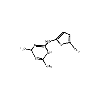 CNC1=NC(C)N=C(Nc2ccc(C)o2)N1